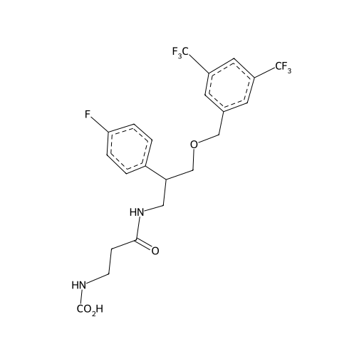 O=C(O)NCCC(=O)NCC(COCc1cc(C(F)(F)F)cc(C(F)(F)F)c1)c1ccc(F)cc1